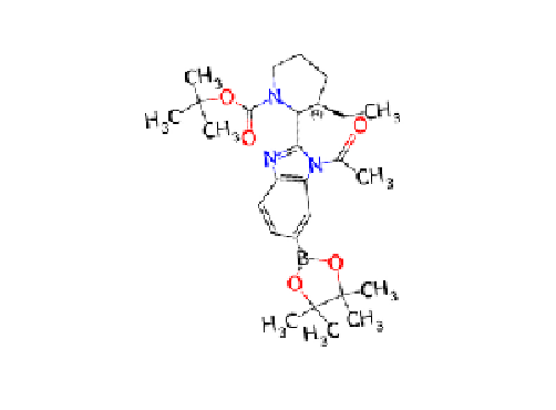 CC[C@@H]1CCCN(C(=O)OC(C)(C)C)C1c1nc2ccc(B3OC(C)(C)C(C)(C)O3)cc2n1C(C)=O